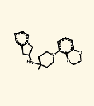 CC1(NC2Cc3ccccc3C2)CCN(c2cccc3c2OCCO3)CC1